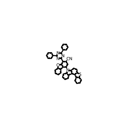 N#Cc1cc(-n2c3ccccc3c3c4c(ccc32)sc2ccccc24)c2c(oc3ccccc32)c1-c1nc(-c2ccccc2)nc(-c2ccccc2)n1